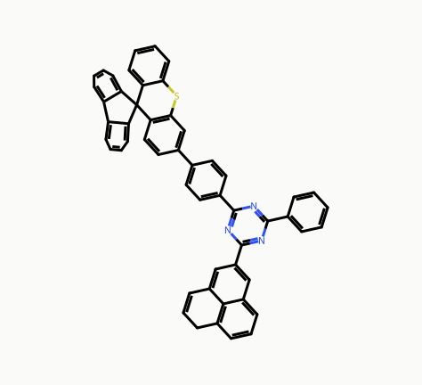 C1=Cc2cc(-c3nc(-c4ccccc4)nc(-c4ccc(-c5ccc6c(c5)Sc5ccccc5C65c6ccccc6-c6ccccc65)cc4)n3)cc3cccc(c23)C1